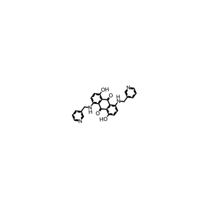 O=C1c2c(O)ccc(NCc3cccnc3)c2C(=O)c2c(O)ccc(NCc3cccnc3)c21